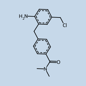 CN(C)C(=O)c1ccc(Cc2cc(CCl)ccc2N)cc1